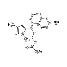 C/N=C\C(=C(\OCOC(=O)OC)c1cc(C)nn1C)c1ccc(C(C)(C)C)cc1